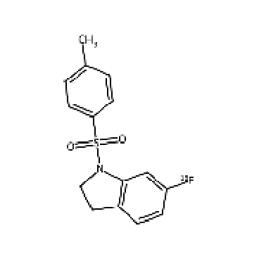 Cc1ccc(S(=O)(=O)N2CCc3ccc([18F])cc32)cc1